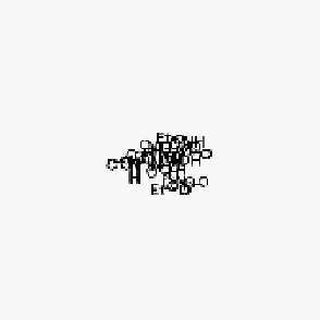 CC[C@H]1C=C[C@@H](NC(=O)OCc2ccccc2)[C@@H](O[C@H]2[C@@H](O)[C@H](O[C@@H]3[C@@H](O)[C@H](NC(=O)[C@H](CCNC(=O)OCc4ccccc4)OC(=O)c4ccccc4)C[C@H](C)[C@H]3O[C@H]3O[C@H](CC)C=C[C@H]3NC(=O)OCc3ccccc3)O[C@@H]2CO)O1